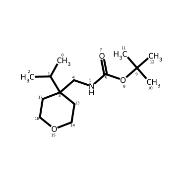 CC(C)C1(CNC(=O)OC(C)(C)C)CCOCC1